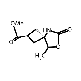 COC(=O)[C@H]1C[C@]2(C1)NC(=O)OC2C